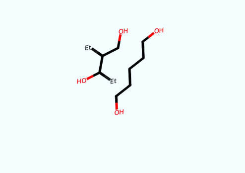 CCC(O)C(CC)CO.OCCCCCO